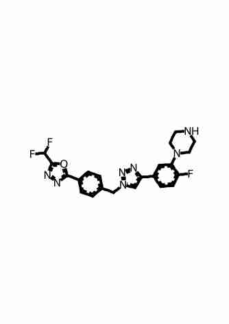 Fc1ccc(-c2cn(Cc3ccc(-c4nnc(C(F)F)o4)cc3)nn2)cc1N1CCNCC1